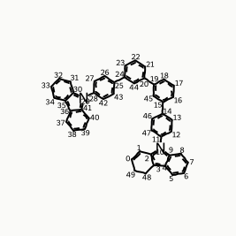 C1=Cc2c(c3ccccc3n2-c2ccc(-c3cccc(-c4cccc(-c5ccc(-n6c7ccccc7c7ccccc76)cc5)c4)c3)cc2)CC1